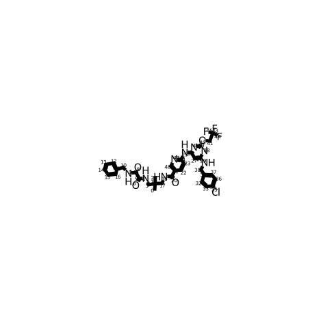 CC(C)(CNC(=O)C(=O)NCc1ccccc1)CNC(=O)c1ccc(Nc2cc(NCc3ccc(Cl)cc3)nc(OCC(F)(F)F)n2)nc1